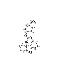 O=C(NC1(c2ccccc2Cl)CCCCC1=O)Oc1ccc([N+](=O)[O-])cc1